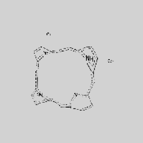 C1=Cc2cc3ccc(cc4nc(cc5ccc(cc1n2)[nH]5)C=C4)[nH]3.[C].[Co]